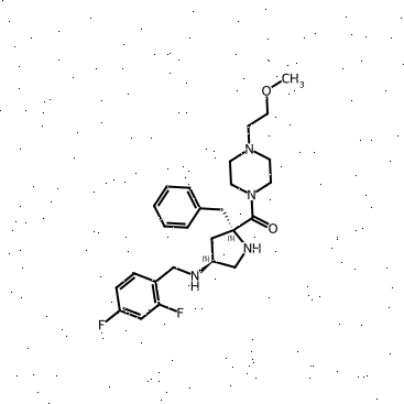 COCCN1CCN(C(=O)[C@]2(Cc3ccccc3)C[C@H](NCc3ccc(F)cc3F)CN2)CC1